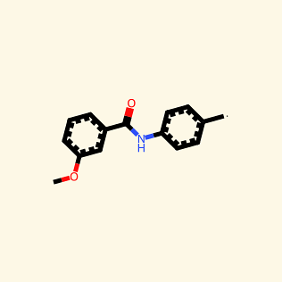 [CH2]c1ccc(NC(=O)c2cccc(OC)c2)cc1